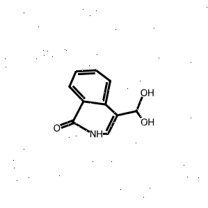 O=c1[nH]cc(C(O)O)c2ccccc12